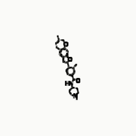 CC1=CCc2cc3cc(-c4ccc(C(=O)NC5CCN(C)CC5)cc4C)oc3cc2OC1